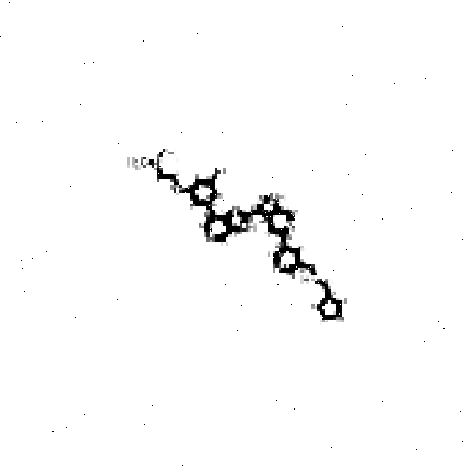 CN(C)CCOc1cc(F)cc(-c2cncc3[nH]c(-c4n[nH]c5cnc(-c6cncc(CNCC7CCCC7)c6)cc45)nc23)c1